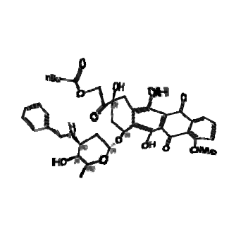 CCCCC(=O)OCC(=O)[C@]1(O)Cc2c(O)c3c(c(O)c2[C@@H](O[C@H]2C[C@H](NCc4ccccc4)[C@H](O)[C@H](C)O2)C1)C(=O)c1c(OC)cccc1C3=O